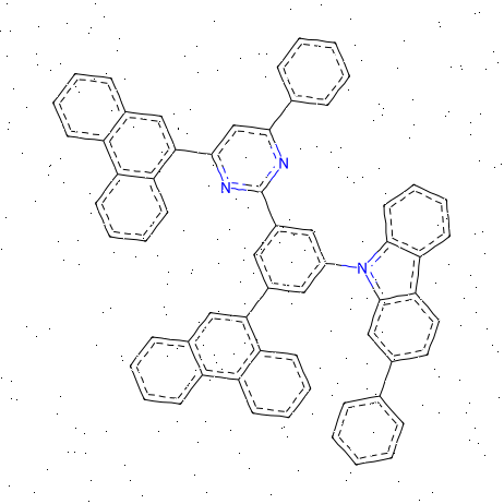 c1ccc(-c2ccc3c4ccccc4n(-c4cc(-c5nc(-c6ccccc6)cc(-c6cc7ccccc7c7ccccc67)n5)cc(-c5cc6ccccc6c6ccccc56)c4)c3c2)cc1